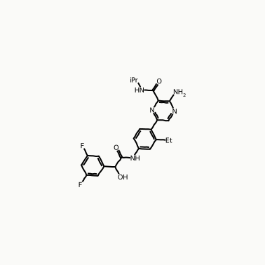 CCc1cc(NC(=O)C(O)c2cc(F)cc(F)c2)ccc1-c1cnc(N)c(C(=O)NC(C)C)n1